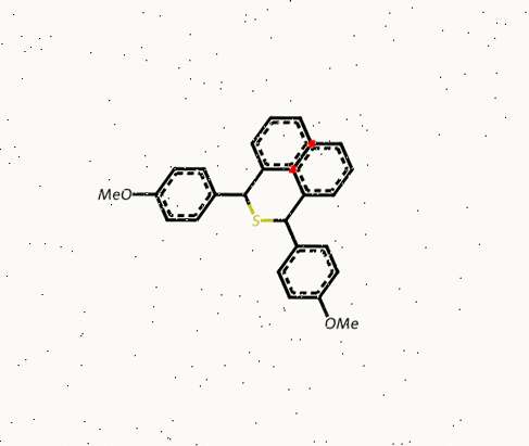 COc1ccc(C(SC(c2ccccc2)c2ccc(OC)cc2)c2ccccc2)cc1